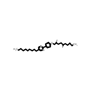 CCCCCCCCCCc1cnc(-c2ccc(OCC(F)CCC(F)CCCCC)cc2)nc1